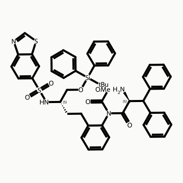 COC(=O)N(C(=O)[C@@H](N)C(c1ccccc1)c1ccccc1)c1ccccc1CC[C@@H](CO[Si](c1ccccc1)(c1ccccc1)C(C)(C)C)NS(=O)(=O)c1ccc2ncsc2c1